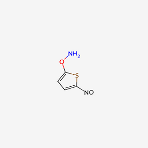 NOc1ccc(N=O)s1